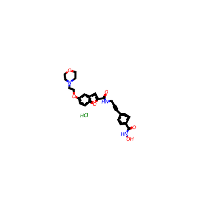 Cl.O=C(NO)c1ccc(C#CCNC(=O)c2cc3cc(OCCN4CCOCC4)ccc3o2)cc1